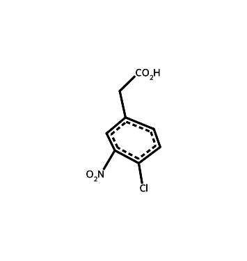 O=C(O)Cc1ccc(Cl)c([N+](=O)[O-])c1